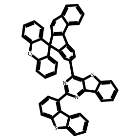 c1ccc2c(c1)Oc1ccccc1C21c2cc(-c3nc(-c4cccc5sc6ccccc6c45)nc4c3sc3ccccc34)ccc2-c2c1ccc1ccccc21